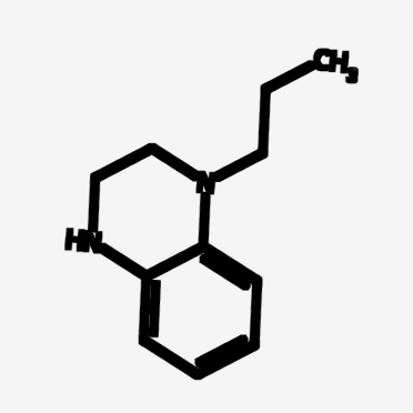 CCCN1CCNc2ccccc21